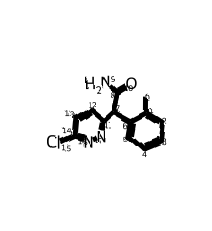 Cc1ccccc1C(C(N)=O)c1ccc(Cl)nn1